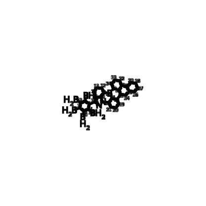 Bc1c(B)c(B)c(-c2nn3c4c(cccc24)B2c4c(cccc4-3)-c3cc4ccccc4c4cccc2c34)c(B)c1B